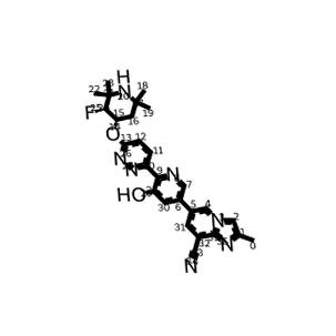 Cc1cn2cc(-c3cnc(-c4ccc(O[C@@H]5CC(C)(C)NC(C)(C)[C@@H]5F)nn4)c(O)c3)cc(C#N)c2n1